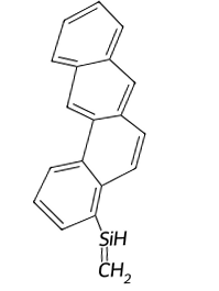 C=[SiH]c1cccc2c1ccc1cc3ccccc3cc12